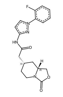 O=C(C[C@H]1CCN2C(=O)OC[C@H]2C1)Nc1ccn(-c2ccccc2F)n1